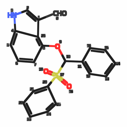 O=Cc1c[nH]c2cccc(OC(c3ccccc3)S(=O)(=O)c3ccccc3)c12